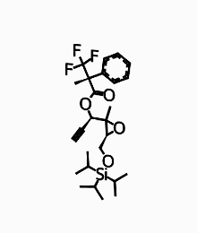 C#C[C@@H](OC(=O)[C@@](C)(c1ccccc1)C(F)(F)F)C1(C)O[C@H]1CO[Si](C(C)C)(C(C)C)C(C)C